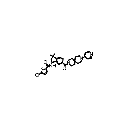 CC1(C)CC(NC(=O)c2ccc(Cl)s2)c2cc(C(=O)N3CCC4(CC3)CCN(c3ccncc3)CC4)ccc21